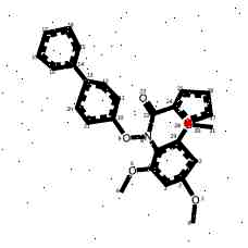 COc1cc(OC)c(N(Oc2ccc(-c3ccccc3)cc2)C(=O)c2ccco2)c(OC)c1